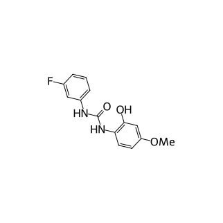 COc1ccc(NC(=O)Nc2cccc(F)c2)c(O)c1